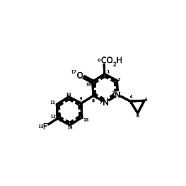 O=C(O)c1cn(C2CC2)nc(-c2ccc(F)cc2)c1=O